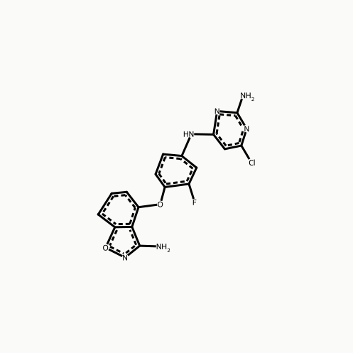 Nc1nc(Cl)cc(Nc2ccc(Oc3cccc4onc(N)c34)c(F)c2)n1